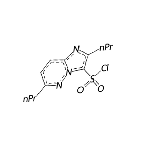 CCCc1ccc2nc(CCC)c(S(=O)(=O)Cl)n2n1